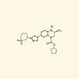 CC(=O)N1c2ccc(-c3cnn(C4CCCS(=O)(=O)C4)c3)cc2N(C(=O)OC2CCCC2)C[C@@H]1C